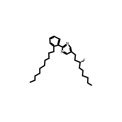 CCCCCCCCCCc1ccccc1-c1ncc(CC[C@@H](F)CCCCCC)cn1